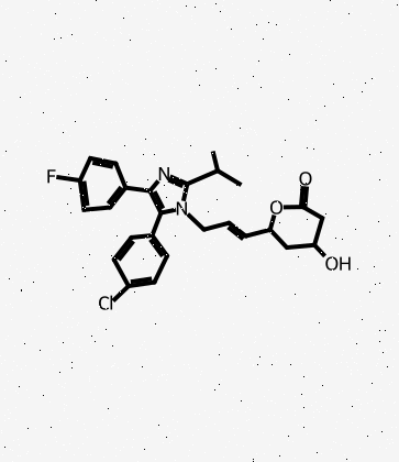 CC(C)c1nc(-c2ccc(F)cc2)c(-c2ccc(Cl)cc2)n1C/C=C/C1CC(O)CC(=O)O1